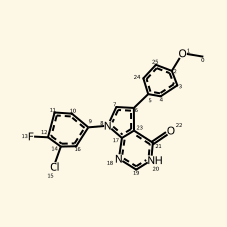 COc1ccc(-c2cn(-c3ccc(F)c(Cl)c3)c3nc[nH]c(=O)c23)cc1